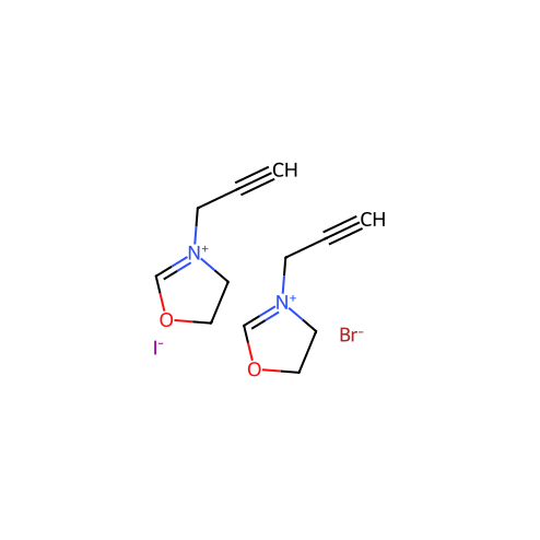 C#CC[N+]1=COCC1.C#CC[N+]1=COCC1.[Br-].[I-]